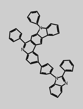 c1ccc(-c2nc3ccc(-c4ccc(-n5c(-c6ccccc6)nc6ccccc65)cc4)cc3c3cc4c5ccccc5n(-c5ccccc5)c4cc23)cc1